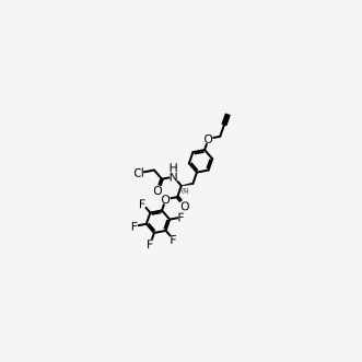 C#CCOc1ccc(C[C@H](NC(=O)CCl)C(=O)Oc2c(F)c(F)c(F)c(F)c2F)cc1